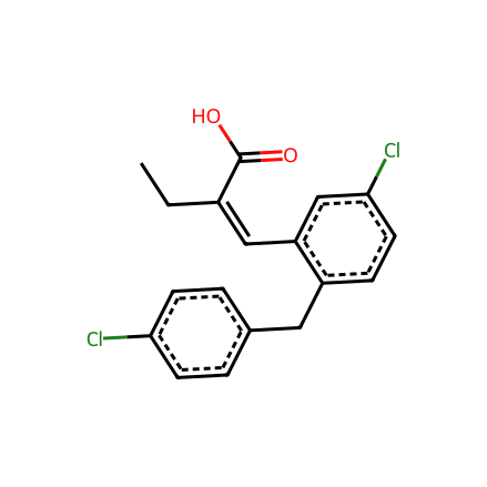 CCC(=Cc1cc(Cl)ccc1Cc1ccc(Cl)cc1)C(=O)O